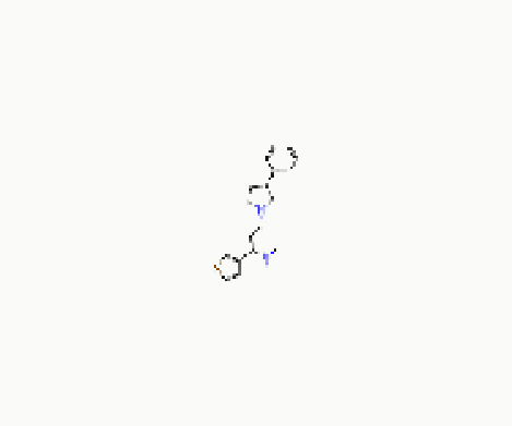 CN(C)[C@H](CCN1CC[C@@H](c2ccccc2)C1)c1ccsc1